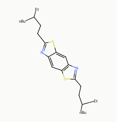 CCCCC(CC)CCc1nc2cc3sc(CCC(CC)CCCC)nc3cc2s1